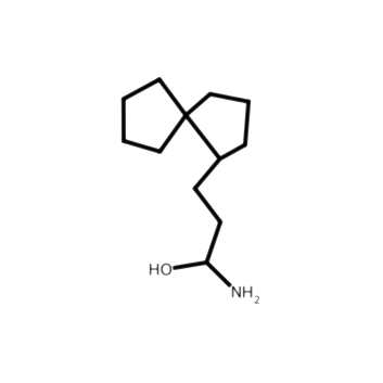 NC(O)CCC1CCCC12CCCC2